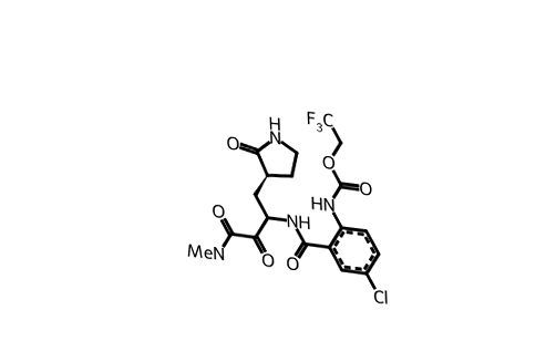 CNC(=O)C(=O)C(C[C@@H]1CCNC1=O)NC(=O)c1cc(Cl)ccc1NC(=O)OCC(F)(F)F